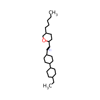 CCCCCC1CCC(/C=C/C2CCC(C3CCC(CC)CC3)CC2)OC1